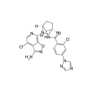 Nc1noc2c(N3C[C@@H]4CC[C@H]3[C@@H]4NC(=O)c3ccc(-n4cncn4)cc3Cl)ncc(Cl)c12